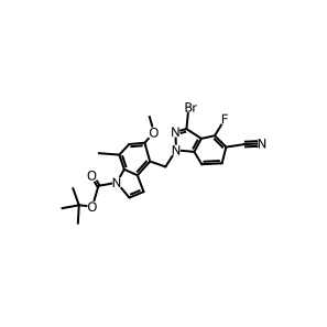 COc1cc(C)c2c(ccn2C(=O)OC(C)(C)C)c1Cn1nc(Br)c2c(F)c(C#N)ccc21